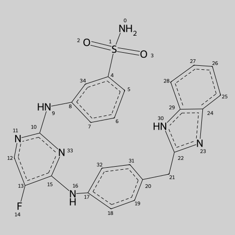 NS(=O)(=O)c1cccc(Nc2ncc(F)c(Nc3ccc(Cc4nc5ccccc5[nH]4)cc3)n2)c1